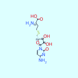 Nc1ccn([C@@H]2O[C@H](CSCC[C@H](N)C(=O)O)[C@@H](O)[C@H]2O)c(=O)n1